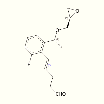 C[C@@H](OC[C@H]1CO1)c1cccc(F)c1/C=C/CCC=O